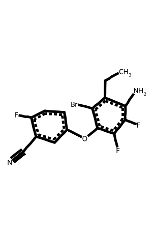 CCc1c(N)c(F)c(F)c(Oc2ccc(F)c(C#N)c2)c1Br